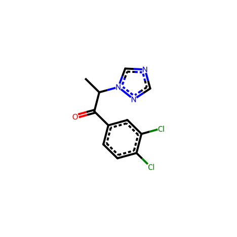 CC(C(=O)c1ccc(Cl)c(Cl)c1)n1cncn1